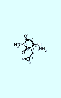 Cn1c(=O)cc(NN)n(CC2CC2)c1=O